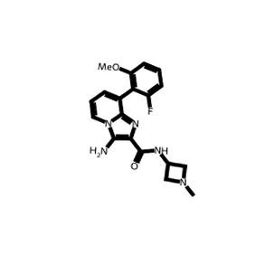 COc1cccc(F)c1-c1cccn2c(N)c(C(=O)NC3CN(C)C3)nc12